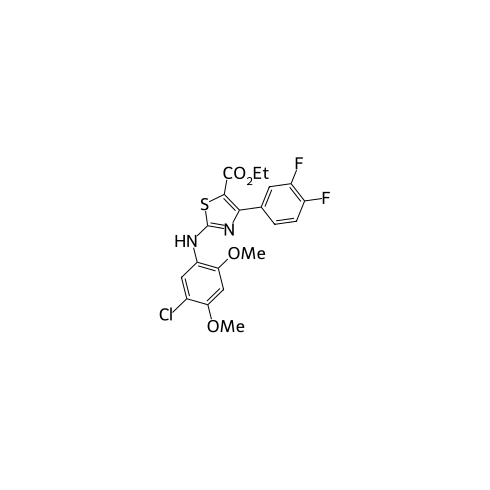 CCOC(=O)c1sc(Nc2cc(Cl)c(OC)cc2OC)nc1-c1ccc(F)c(F)c1